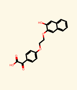 O=C(O)C(=O)c1ccc(OCCOc2cc3ccccc3cc2O)cc1